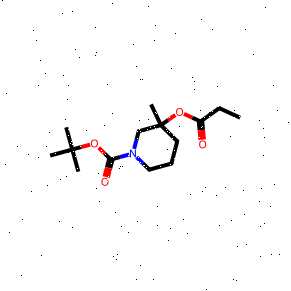 CCC(=O)OC1(C)CCCN(C(=O)OC(C)(C)C)C1